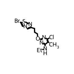 CCNc1nc(OCCCc2cn3cc(Br)sc3n2)nc(Cl)c1C